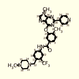 Cc1ccc(C(=O)Nc2ccc(CN3CCN(C)CC3)c(C(F)(F)F)c2)cc1Oc1nc(-c2ccncc2)nc2c1ncn2C